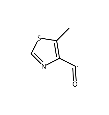 Cc1scnc1[C]=O